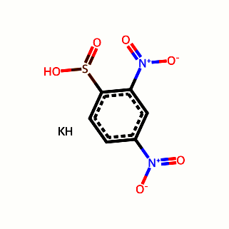 O=[N+]([O-])c1ccc(S(=O)O)c([N+](=O)[O-])c1.[KH]